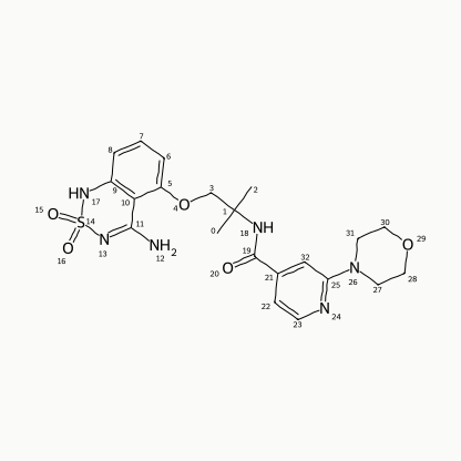 CC(C)(COc1cccc2c1C(N)=NS(=O)(=O)N2)NC(=O)c1ccnc(N2CCOCC2)c1